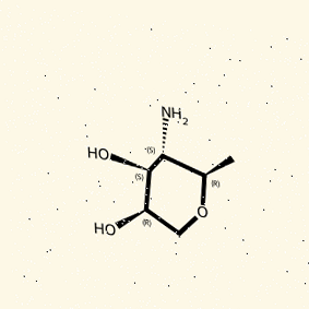 C[C@H]1O[CH][C@@H](O)[C@@H](O)[C@@H]1N